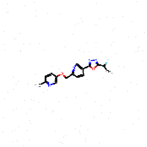 Cc1ccc(OCc2ccc(-c3nnc(C(C)F)o3)cn2)cn1